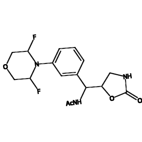 CC(=O)NC(c1cccc(N2C(F)COCC2F)c1)C1CNC(=O)O1